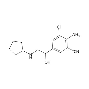 N#Cc1cc(C(O)CNC2CCCC2)cc(Cl)c1N